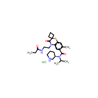 CCC(=O)NCCN1C(=O)C2(CCC2)Sc2cc(C)c(C(=O)N(C(C)C)[C@@H]3CCCNC3)cc21.Cl